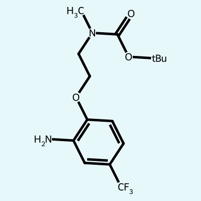 CN(CCOc1ccc(C(F)(F)F)cc1N)C(=O)OC(C)(C)C